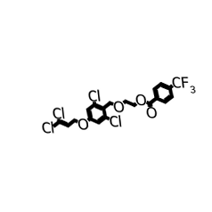 O=C(OCCOCc1c(Cl)cc(OCC=C(Cl)Cl)cc1Cl)c1ccc(C(F)(F)F)cc1